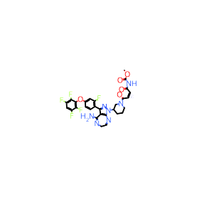 COC(=O)NC(=O)/C=C\C(=O)N1CCCC(n2nc(-c3ccc(Oc4c(F)c(F)cc(F)c4F)cc3F)c3c2N=CCN=C3N)C1